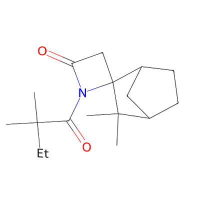 CCC(C)(C)C(=O)N1C(=O)CC12C1CCC(C1)C2(C)C